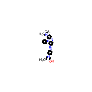 CCCN(CCO)c1ccc(/N=N/c2ccc3nc4ccc(N(CC)CC)cc4[n+](-c4ccccc4)c3c2)cc1